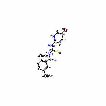 COc1ccc(OC)c(C(C)NC(=S)Nc2ccc(Br)cn2)c1